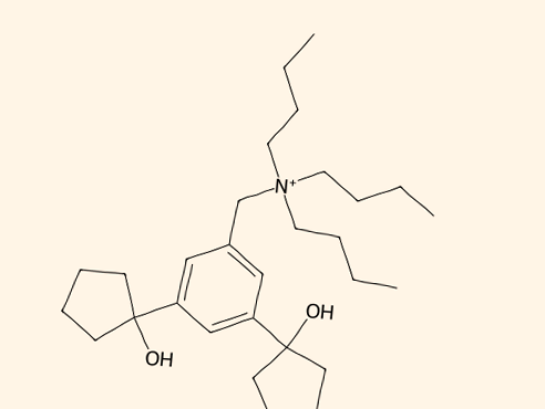 CCCC[N+](CCCC)(CCCC)Cc1cc(C2(O)CCCC2)cc(C2(O)CCCC2)c1